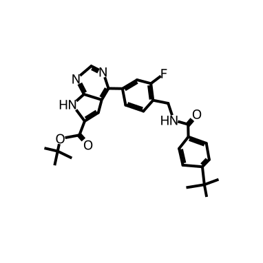 CC(C)(C)OC(=O)c1cc2c(-c3ccc(CNC(=O)c4ccc(C(C)(C)C)cc4)c(F)c3)ncnc2[nH]1